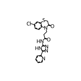 O=C(CCN1C(=O)CSc2cc(Cl)ccc21)Nc1nnc(-c2ccccn2)[nH]1